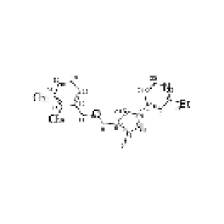 CCc1cc(-c2nc(C)c(COCc3cccc(Cl)c3Cl)s2)ccn1